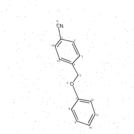 N#Cc1ccc(COc2[c]cccc2)cc1